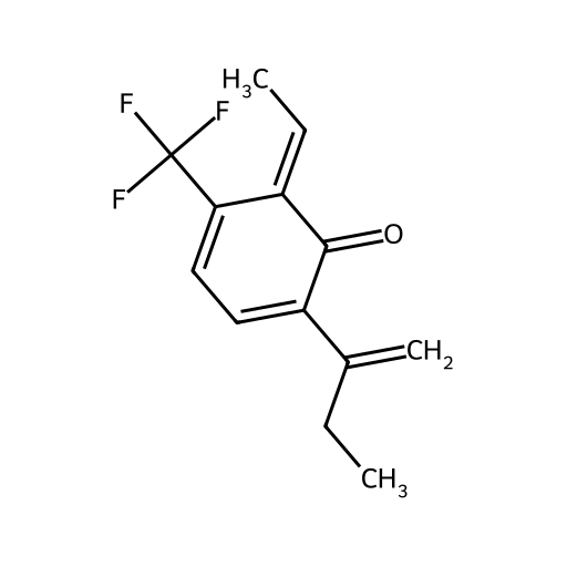 C=C(CC)C1=CC=C(C(F)(F)F)/C(=C\C)C1=O